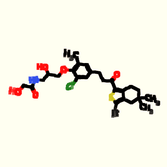 CCc1sc(C(=O)CCc2cc(C)c(OCC(O)CNC(=O)CO)c(Cl)c2)c2c1CC(C)(C)CC2